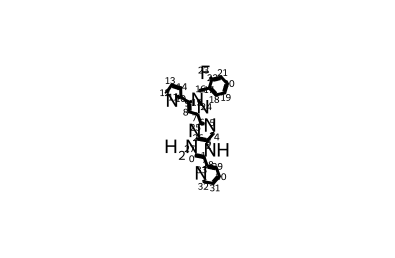 C=C(Nc1cnc(-c2cc(C3=NCC=C3)n(Cc3ccccc3F)n2)nc1N)c1ccccn1